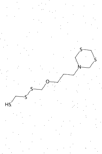 SCSSCOCCCN1CSCSC1